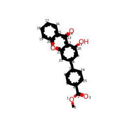 COC(=O)c1ccc(-c2cc(O)c3c(=O)c4ccccc4oc3c2)cc1